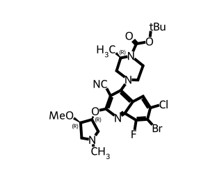 CO[C@@H]1CN(C)C[C@H]1Oc1nc2c(F)c(Br)c(Cl)cc2c(N2CCN(C(=O)OC(C)(C)C)[C@H](C)C2)c1C#N